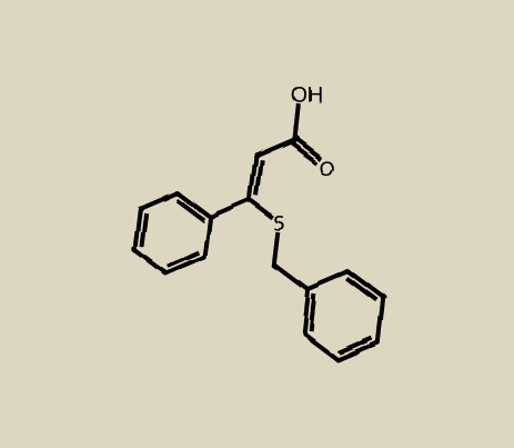 O=C(O)/C=C(\SCc1ccccc1)c1ccccc1